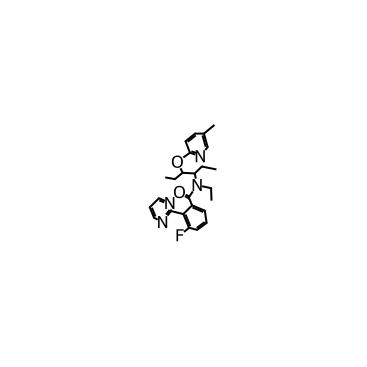 CCC(Oc1ccc(C)cn1)C(CC)N(CC)C(=O)c1cccc(F)c1-c1ncccn1